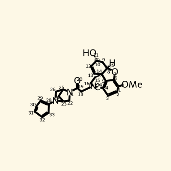 COc1ccc2c3c1O[C@H]1C[C@@H](O)C=C[C@@]31CCN(CC(=O)N1CC3CC1CN3c1ccccc1)C2